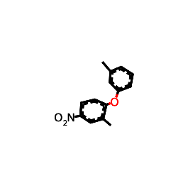 Cc1cccc(Oc2ccc([N+](=O)[O-])cc2C)c1